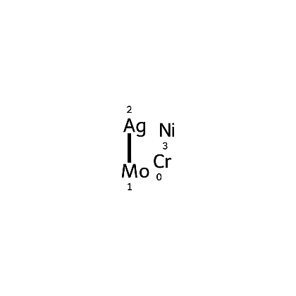 [Cr].[Mo][Ag].[Ni]